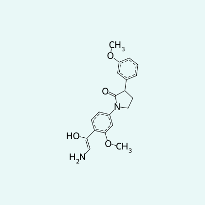 COc1cccc(C2CCN(c3ccc(/C(O)=C/N)c(OC)c3)C2=O)c1